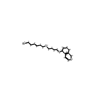 BrCCCCCCOCCCCSC1CCCC2=C1C=COC2